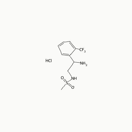 CS(=O)(=O)NCC(N)c1ccccc1C(F)(F)F.Cl